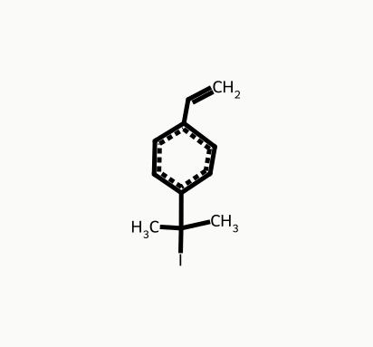 C=Cc1ccc(C(C)(C)I)cc1